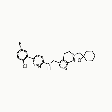 OC1(CN2CCc3c(CNc4ccc(-c5cc(F)ccc5Cl)nn4)csc3C2)CCCCC1